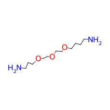 NCCCCOCCOCCOCCCN